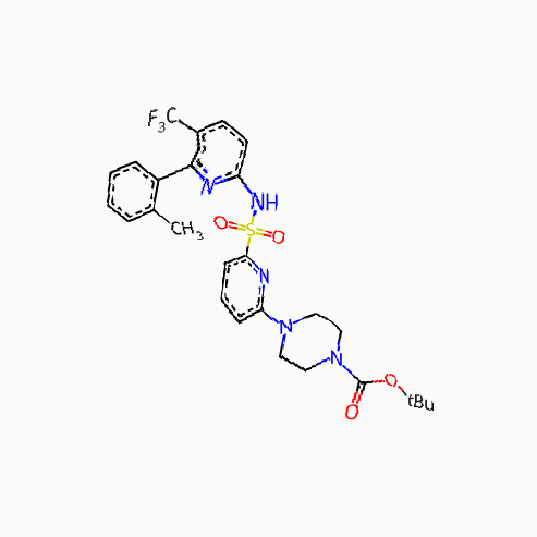 Cc1ccccc1-c1nc(NS(=O)(=O)c2cccc(N3CCN(C(=O)OC(C)(C)C)CC3)n2)ccc1C(F)(F)F